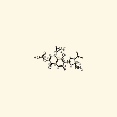 COc1c(N2CC(C(C)C)C(C)(N)C2)c(F)cc2c(=O)c(OC(=O)O)cn([C@@H]3C[C@@H]3F)c12